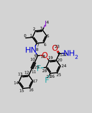 Cc1cc(I)ccc1NC(C#Cc1ccccc1)Oc1c(C(N)=O)ccc(F)c1F